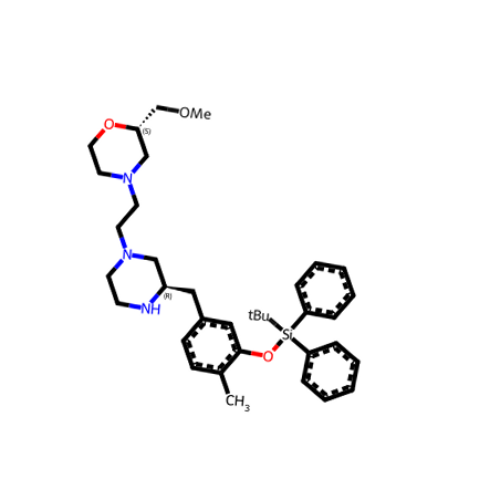 COC[C@@H]1CN(CCN2CCN[C@H](Cc3ccc(C)c(O[Si](c4ccccc4)(c4ccccc4)C(C)(C)C)c3)C2)CCO1